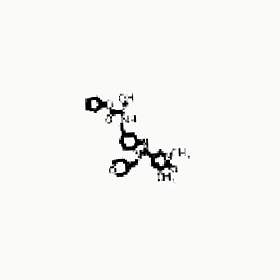 Cc1cc(-c2nc3cc(CN[C@@H](CO)C(=O)OC4CCCC4)ccc3n2CC2CCOCC2)cn(C)c1=O